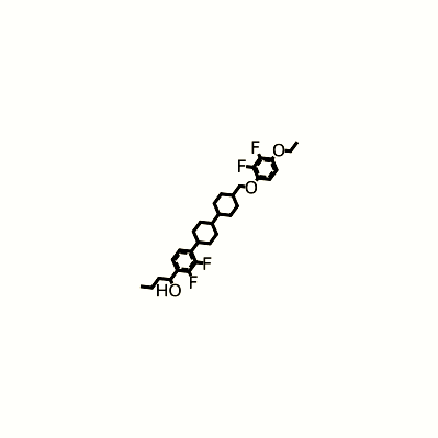 CCCC(O)c1ccc(C2CCC(C3CCC(COc4ccc(OCC)c(F)c4F)CC3)CC2)c(F)c1F